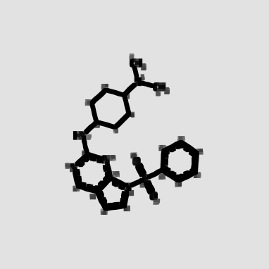 CN(C)C1CCC(Nc2ncc3ccn(S(=O)(=O)c4ccccc4)c3n2)CC1